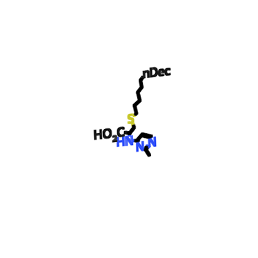 CCCCCCCCCCCCCCCCSCC(Nc1ccnc(C)n1)C(=O)O